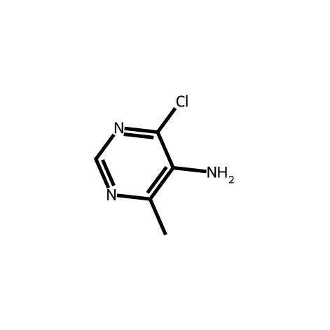 Cc1ncnc(Cl)c1N